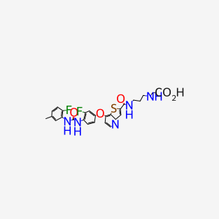 Cc1ccc(F)c(NC(=O)Nc2ccc(Oc3ccnc4cc(C(=O)NCCCNCC(=O)O)sc34)cc2F)c1